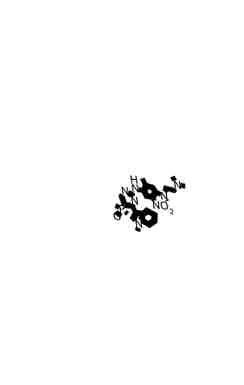 Cc1cc(N(C)CCN(C)C)c([N+](=O)[O-])cc1Nc1ncc(P(C)(C)=O)c(-c2cn(C)c3ccccc23)n1